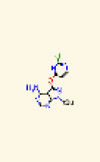 CC(C)(C)n1nc(Oc2ccnc(Cl)n2)c2c(N)ncnc21